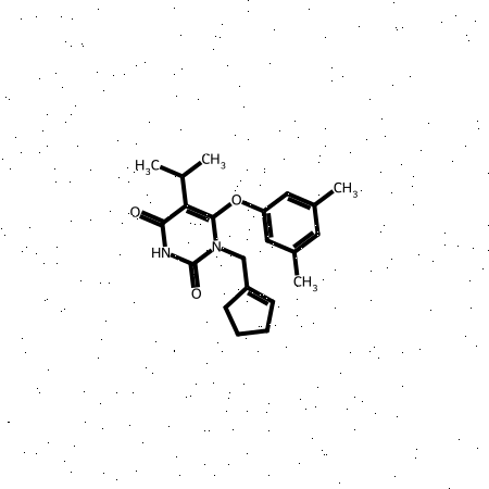 Cc1cc(C)cc(Oc2c(C(C)C)c(=O)[nH]c(=O)n2CC2=CCCC2)c1